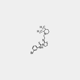 CC1CCCN(CC/N=C2\SCCN2C(=S)Nc2cccc(Br)c2)C1C